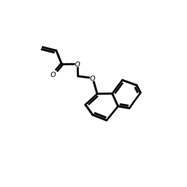 C=CC(=O)OCOc1cccc2ccccc12